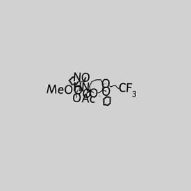 COc1ccnc(C(=O)N[C@H]2CCC[C@H](OCCCC(F)(F)F)[C@@H](Oc3ccccc3)[C@H](C)OC2=O)c1OCOC(C)=O